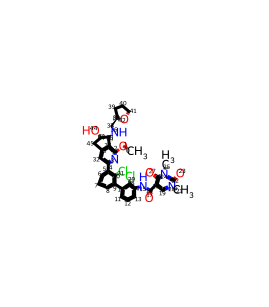 COc1nc(-c2cccc(-c3cccc(NC(=O)c4cn(C)c(=O)n(C)c4=O)c3Cl)c2Cl)cc2c1[C@@H](NC[C@H]1CCCO1)[C@H](O)C2